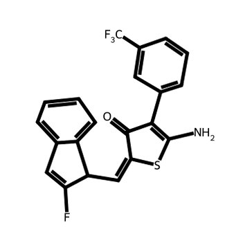 NC1=C(c2cccc(C(F)(F)F)c2)C(=O)C(=CC2C(F)=Cc3ccccc32)S1